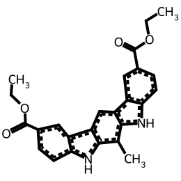 CCOC(=O)c1ccc2[nH]c3c(C)c4[nH]c5ccc(C(=O)OCC)cc5c4cc3c2c1